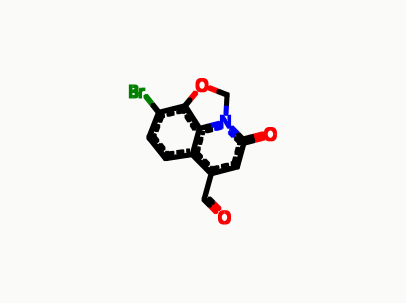 O=Cc1cc(=O)n2c3c(c(Br)ccc13)OC2